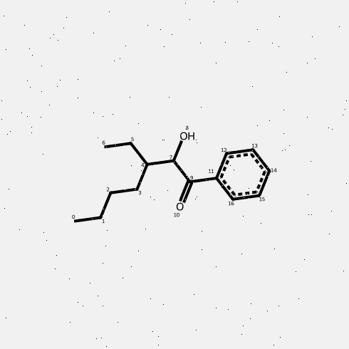 CCCCC(CC)C(O)C(=O)c1ccccc1